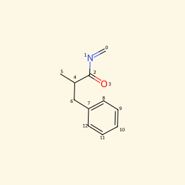 C=NC(=O)C(C)Cc1ccccc1